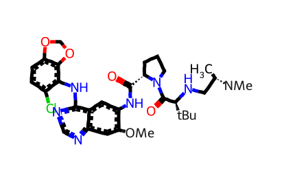 CN[C@@H](C)CN[C@H](C(=O)N1CCC[C@H]1C(=O)Nc1cc2c(Nc3c(Cl)ccc4c3OCO4)ncnc2cc1OC)C(C)(C)C